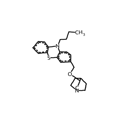 CCCCN1c2ccccc2Sc2cc(COC3CN4CCC3CC4)ccc21